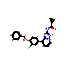 O=C(Nc1nc2c(-c3ccc(OCc4ccccc4)c(F)c3)cccn2n1)C1CC1